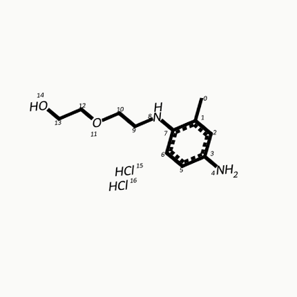 Cc1cc(N)ccc1NCCOCCO.Cl.Cl